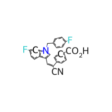 N#CC(=Cc1cn(Cc2ccc(F)cc2)c2cc(F)ccc12)c1ccc(C(=O)O)cc1